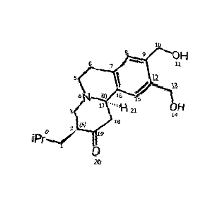 CC(C)C[C@H]1CN2CCc3cc(CO)c(CO)cc3[C@H]2CC1=O